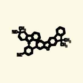 CC1(C)c2ccccc2-c2cc3c(cc21)oc1cc(-c2ccc(C#N)cc2-n2c4c(c5ccccc52)C[C@](C)(C#N)C=C4)ccc13